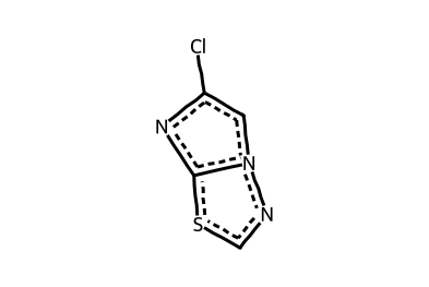 Clc1cn2ncsc2n1